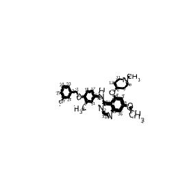 COc1cc(OC2CCN(C)CC2)c2c(Nc3ccc(OCc4cccc(F)c4)c(C)c3)ncnc2c1